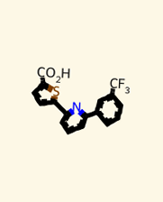 O=C(O)c1ccc(-c2cccc(-c3cccc(C(F)(F)F)c3)n2)s1